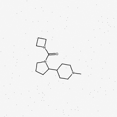 CN1CCC(C2CCCN2C(=O)N2CCC2)CC1